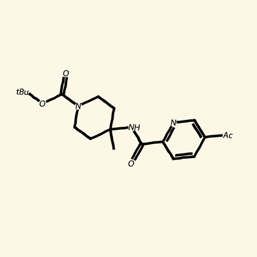 CC(=O)c1ccc(C(=O)NC2(C)CCN(C(=O)OC(C)(C)C)CC2)nc1